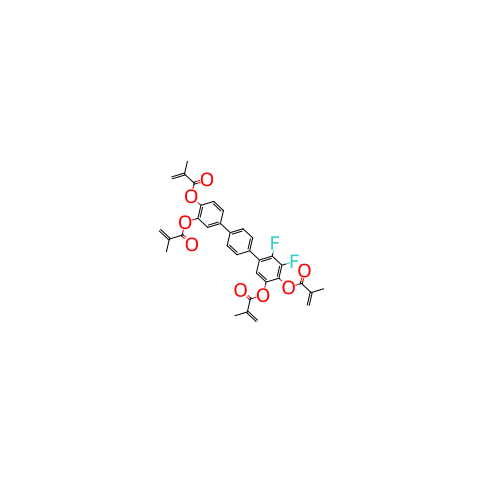 C=C(C)C(=O)Oc1ccc(-c2ccc(-c3cc(OC(=O)C(=C)C)c(OC(=O)C(=C)C)c(F)c3F)cc2)cc1OC(=O)C(=C)C